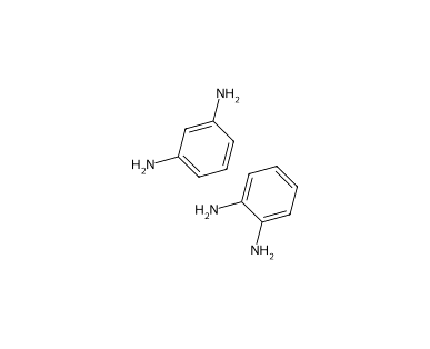 Nc1cccc(N)c1.Nc1ccccc1N